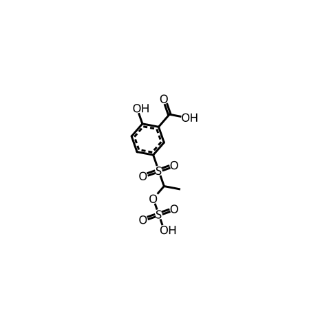 CC(OS(=O)(=O)O)S(=O)(=O)c1ccc(O)c(C(=O)O)c1